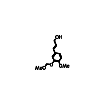 COCOc1cc(C=CCO)ccc1OC